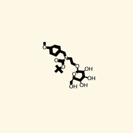 COc1ccc(CN(CCO[C@@H]2O[C@H](CO)[C@@H](O)[C@H](O)[C@H]2O)C(=O)OC(C)(C)C)cc1